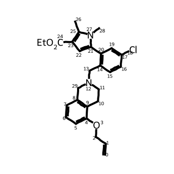 C=CCOc1cccc2c1CCN(Cc1ccc(Cl)cc1-c1cc(C(=O)OCC)c(C)n1C)C2